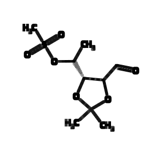 CC(OS(C)(=O)=O)[C@H]1OC(C)(C)OC1C=O